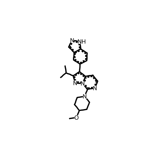 COC1CCN(c2nccc3c(-c4ccc5[nH]ncc5c4)c(C(C)C)nn23)CC1